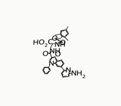 Cc1cc(C)c(S(=O)(=O)NC(CNC(=O)c2cn(-c3ccccc3)c3cc(-c4cccc(N)n4)ccc3c2=O)C(=O)O)c(C)c1